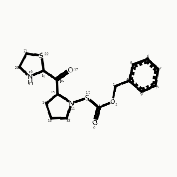 O=C(OCc1ccccc1)SN1CCCC1C(=O)C1NCCS1